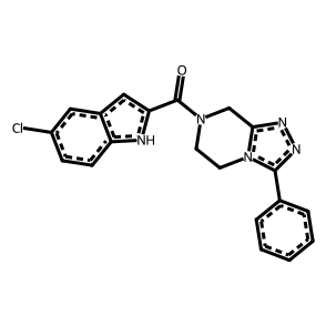 O=C(c1cc2cc(Cl)ccc2[nH]1)N1CCn2c(nnc2-c2ccccc2)C1